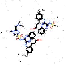 COc1ccc(CCCO)c(Nc2nc3ccccc3nc2NS(=O)(=O)c2cn(C)c(CN(C)C)n2)c1.COc1ccc(CCCO)c(Nc2nc3ccccc3nc2NS(C)(=O)=O)c1